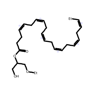 CC/C=C\C/C=C\C/C=C\C/C=C\C/C=C\C/C=C\CCC(=O)OC(CO)COCC